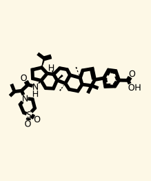 C=C(C)[C@@H]1CC[C@]2(NC(=O)C(C(C)C)N3CCS(=O)(=O)CC3)CC[C@]3(C)[C@H](CCC4[C@@]5(C)CC=C(c6ccc(C(=O)O)cc6)C(C)(C)C5CC[C@]43C)C12